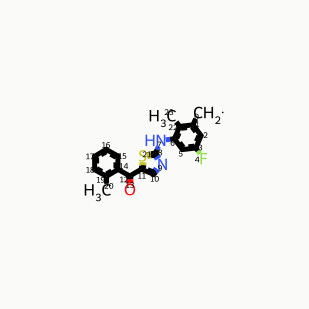 [CH2]c1cc(F)cc(Nc2ncc(C(=O)c3ccccc3C)s2)c1C